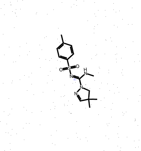 CN/C(=N\S(=O)(=O)c1ccc(C)cc1)N1CC(C)(C)C=N1